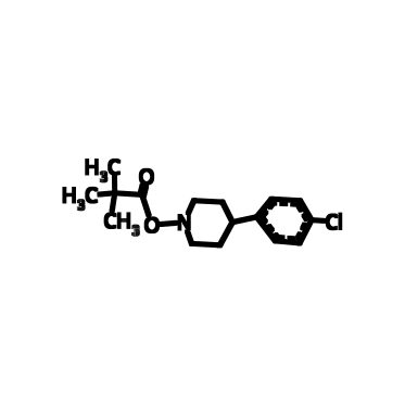 CC(C)(C)C(=O)ON1CCC(c2ccc(Cl)cc2)CC1